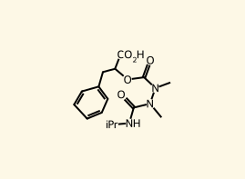 CC(C)NC(=O)N(C)N(C)C(=O)OC(Cc1ccccc1)C(=O)O